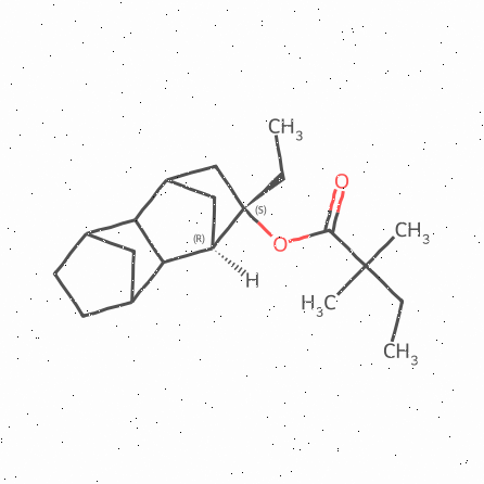 CCC(C)(C)C(=O)O[C@@]1(CC)CC2C[C@@H]1C1C3CCC(C3)C21